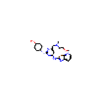 COCCN(C)Cc1cc(Nc2nc3cccnc3s2)nc(N[C@H]2CC[C@H](O)CC2)n1